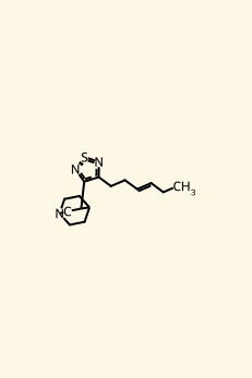 CCC=CCCc1nsnc1C1CN2CCC1CC2